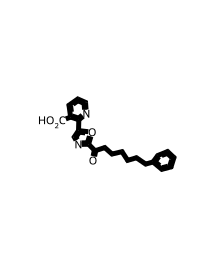 O=C(CCCCCCc1ccccc1)c1ncc(-c2ncccc2C(=O)O)o1